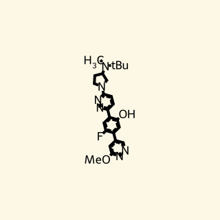 COc1cc(-c2cc(O)c(-c3ccc(N4CCC(N(C)C(C)(C)C)C4)nn3)cc2F)cnn1